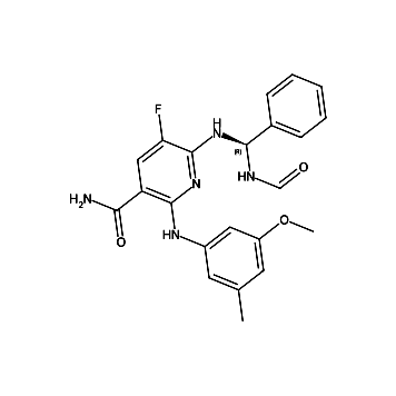 COc1cc(C)cc(Nc2nc(N[C@H](NC=O)c3ccccc3)c(F)cc2C(N)=O)c1